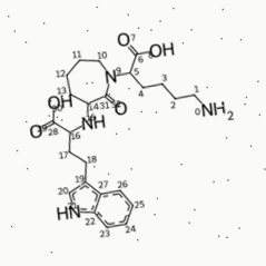 NCCCCC(C(=O)O)N1CCCCC(NC(CCc2c[nH]c3ccccc23)C(=O)O)C1=O